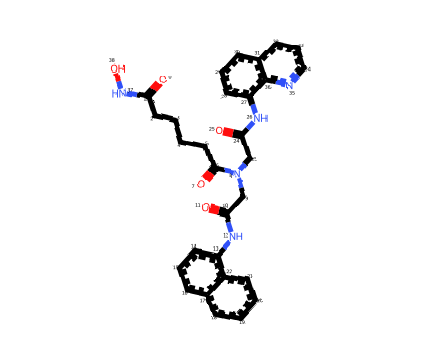 O=C(CCCCC(=O)N(CC(=O)Nc1cccc2ccccc12)CC(=O)Nc1cccc2cccnc12)NO